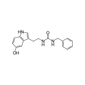 O=C(NCCc1c[nH]c2ccc(O)cc12)NCc1ccccc1